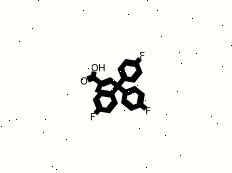 C/C(=C\C(c1ccc(F)cc1)(c1ccc(F)cc1)c1ccc(F)cc1)C(=O)O